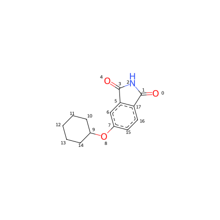 O=C1NC(=O)c2cc(OC3CCCCC3)ccc21